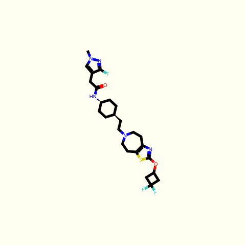 Cn1cc(CC(=O)N[C@H]2CC[C@H](CCN3CCc4nc(OC5CC(F)(F)C5)sc4CC3)CC2)c(F)n1